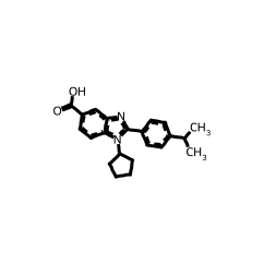 CC(C)c1ccc(-c2nc3cc(C(=O)O)ccc3n2C2CCCC2)cc1